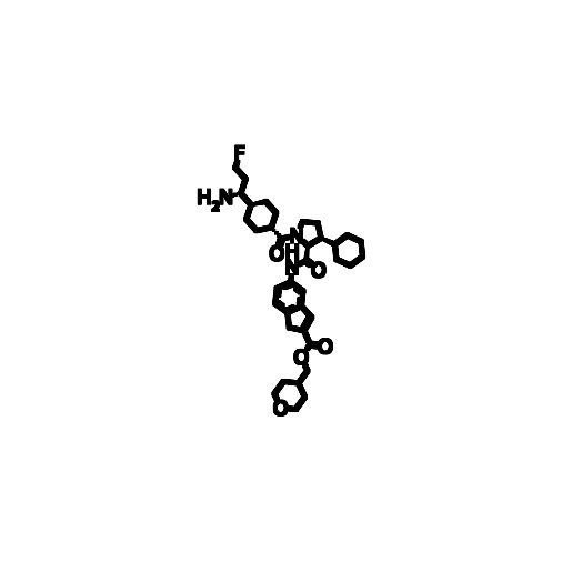 N[C@H](CCF)[C@H]1CC[C@H](C(=O)N2CC[C@@H](C3CCCCC3)[C@H]2C(=O)Nc2ccc3c(c2)C=C(C(=O)OCC2CCOCC2)C3)CC1